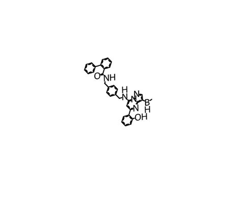 CBc1cnn2c(NCc3ccc(CNC(=O)c4ccccc4-c4ccccc4)cc3)cc(-c3ccccc3O)nc12